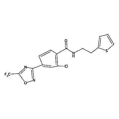 O=C(NCCc1cccs1)c1ccc(-c2noc(C(F)(F)F)n2)cc1Cl